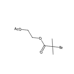 CC(=O)OCCOC(=O)C(C)(C)Br